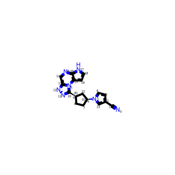 N#Cc1ccn([C@H]2CC[C@@H](c3nnc4cnc5[nH]ccc5n34)C2)c1